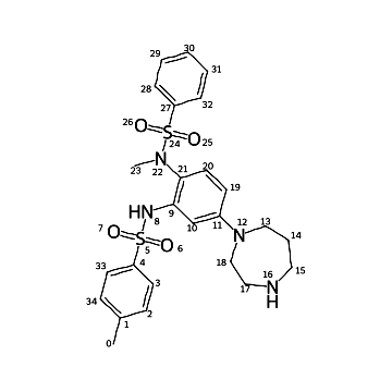 Cc1ccc(S(=O)(=O)Nc2cc(N3CCCNCC3)ccc2N(C)S(=O)(=O)c2ccccc2)cc1